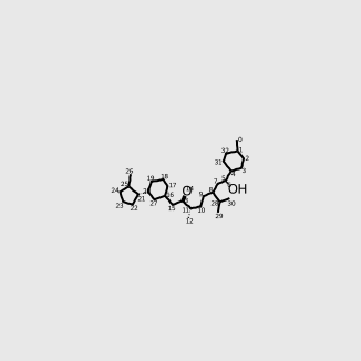 CC1CCC([C@@H](O)CC(CC[C@H](C)C(=O)CC2CCCC([C@@H]3CCCC3C)C2)C(C)C)CC1